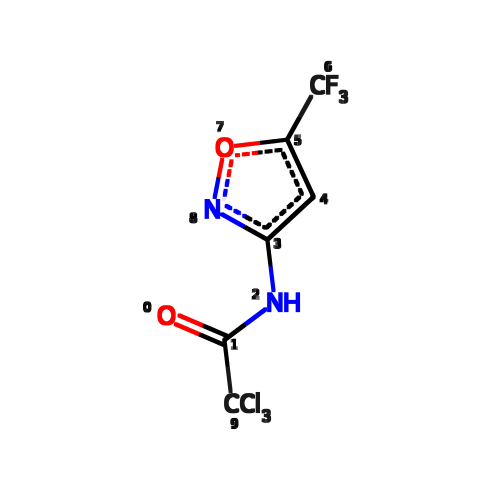 O=C(Nc1cc(C(F)(F)F)on1)C(Cl)(Cl)Cl